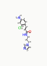 CN(C)c1ccc(C=CC(=O)NCCCn2ccnc2)c(Cl)c1